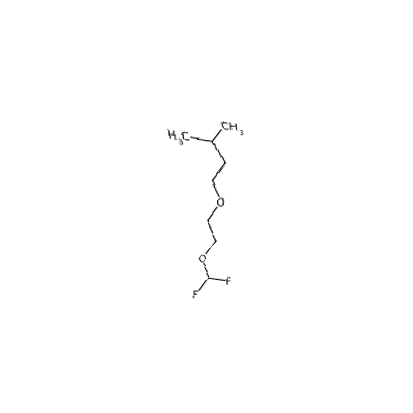 CC(C)CCOCCOC(F)F